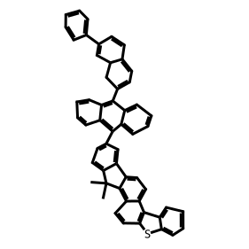 CC1(C)c2ccc(-c3c4ccccc4c(C4=CC=C5C=CC(c6ccccc6)=CC5C4)c4ccccc34)cc2-c2ccc3c(ccc4sc5ccccc5c43)c21